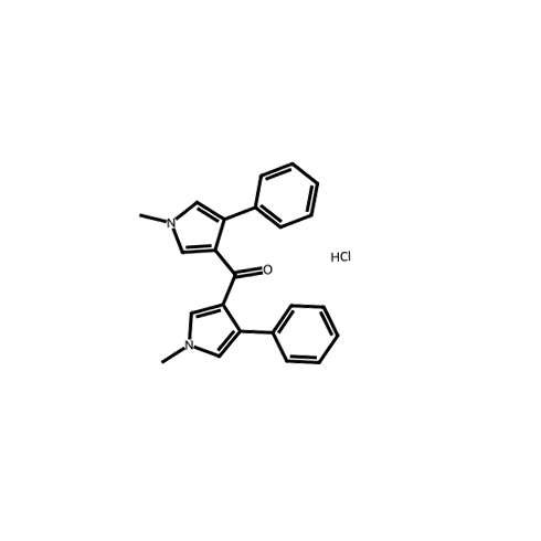 Cl.Cn1cc(C(=O)c2cn(C)cc2-c2ccccc2)c(-c2ccccc2)c1